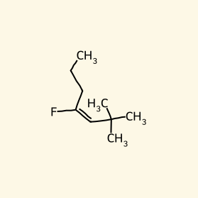 CCC/C(F)=C\C(C)(C)C